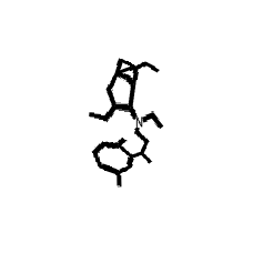 CCC1CC23CC2(CC)C3C1N(CC)CCC(C)C1=CC(C)=CCC=C1C